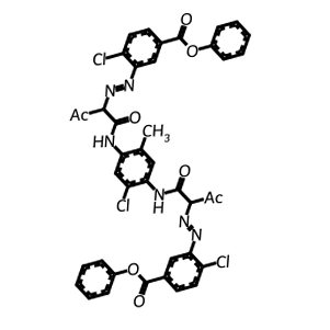 CC(=O)C(/N=N/c1cc(C(=O)Oc2ccccc2)ccc1Cl)C(=O)Nc1cc(Cl)c(NC(=O)C(/N=N/c2cc(C(=O)Oc3ccccc3)ccc2Cl)C(C)=O)cc1C